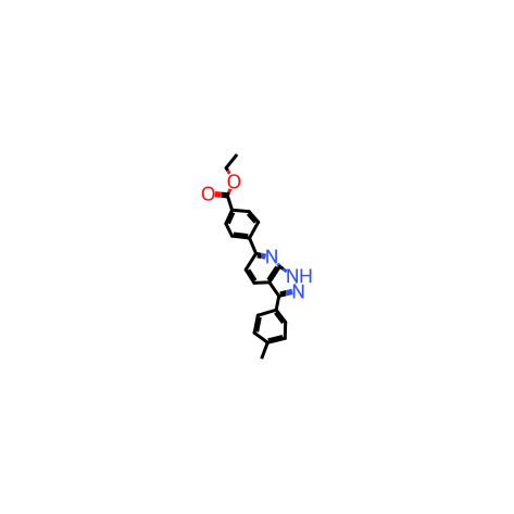 CCOC(=O)c1ccc(-c2ccc3c(-c4ccc(C)cc4)n[nH]c3n2)cc1